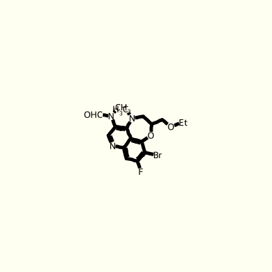 CCOCC1CN(C)c2c(N(C)C=O)cnc3cc(F)c(Br)c(c23)O1